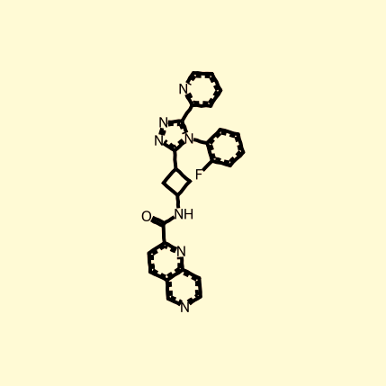 O=C(NC1CC(c2nnc(-c3ccccn3)n2-c2ccccc2F)C1)c1ccc2cnccc2n1